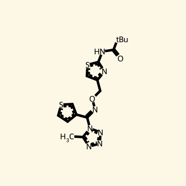 Cc1nnnn1/C(=N/OCc1csc(NC(=O)C(C)(C)C)n1)c1ccsc1